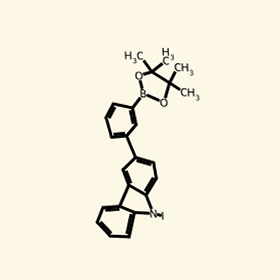 CC1(C)OB(c2cccc(-c3ccc4c(c3)c3ccccc3n4I)c2)OC1(C)C